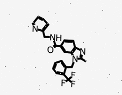 Cc1nc2ccc(C(=O)NCc3ccccn3)cc2n1Cc1ccccc1C(F)(F)F